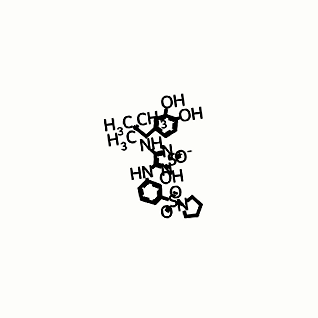 CC(C)(C)[C@@H](Nc1n[s+]([O-])nc1Nc1cccc(S(=O)(=O)N2CCCC2)c1O)c1ccc(O)c(O)c1